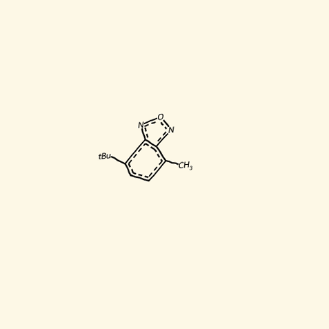 Cc1ccc(C(C)(C)C)c2nonc12